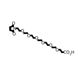 O=C(O)CCOCCOCCOCCOCCOCCOCCN1C(=O)C=CC1=O